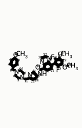 COc1ccc(CN2CCN(Cc3ccc(NC(=O)c4ccc(-c5c(F)c(OC)cc(OC)c5F)c5nccnc45)cn3)CC2)cc1